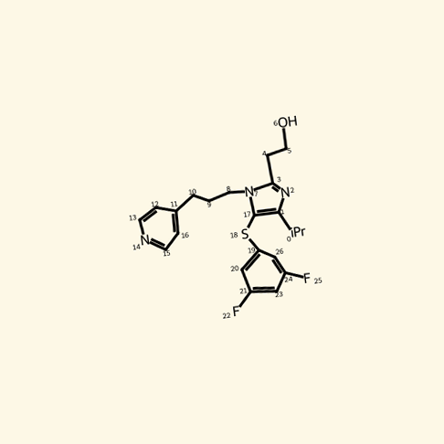 CC(C)c1nc(CCO)n(CCCc2ccncc2)c1Sc1cc(F)cc(F)c1